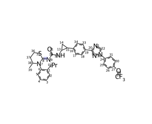 CC(C)c1ccccc1N1/C(=N/C(=O)NC2CC2c2ccc(-c3ncn(-c4ccc(OC(F)(F)F)cc4)n3)cc2)SCCC1C